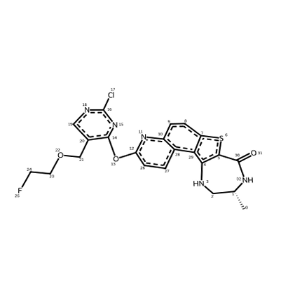 C[C@@H]1CNc2c(sc3ccc4nc(Oc5nc(Cl)ncc5COCCF)ccc4c23)C(=O)N1